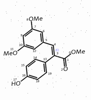 COC(=O)/C(=C/c1cc(OC)cc(OC)c1)c1ccc(O)cc1